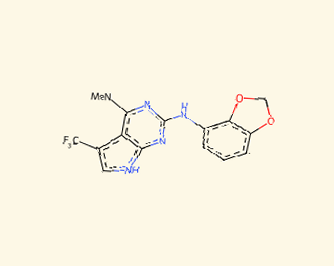 CNc1nc(Nc2cc[c]c3c2OCO3)nc2[nH]cc(C(F)(F)F)c12